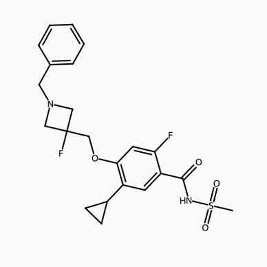 CS(=O)(=O)NC(=O)c1cc(C2CC2)c(OCC2(F)CN(Cc3ccccc3)C2)cc1F